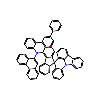 c1ccc(-c2cccc(-c3ccccc3N(c3cccc4c3-c3ccccc3C43c4ccccc4-n4c5ccccc5c5cccc3c54)c3cc4ccccc4c4ccccc34)c2)cc1